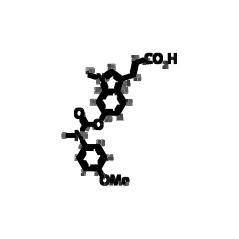 COc1ccc(N(C)C(=O)Oc2ccc3c(/C=C/C(=O)O)cn(C)c3c2)cc1